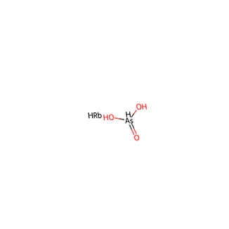 O=[AsH](O)O.[RbH]